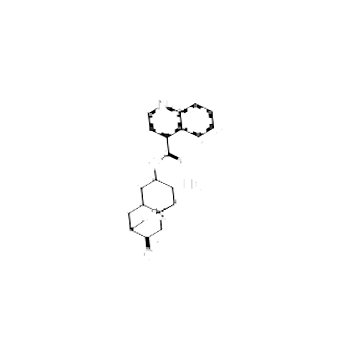 Cl.O=C(OC1CC2CC3CC(C1)N2CC3=O)c1ccnc2ccccc12